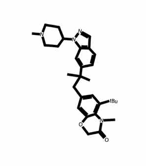 CN1CCC(n2ncc3ccc(C(C)(C)Cc4cc5c(c(C(C)(C)C)c4)N(C)C(=O)CO5)cc32)CC1